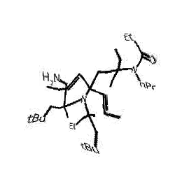 CC=CC(C=CC)(CC(C)(C)N(CCC)C(=O)CC)N(C(C)(CC)CC(C)(C)C)C(C)(CN)CC(C)(C)C